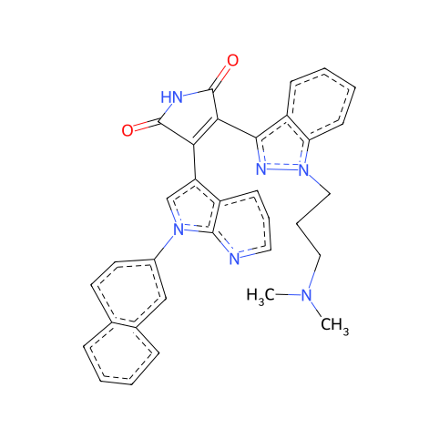 CN(C)CCCn1nc(C2=C(c3cn(-c4ccc5ccccc5c4)c4ncccc34)C(=O)NC2=O)c2ccccc21